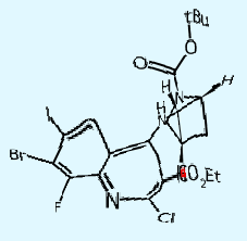 CCOC(=O)c1c(Cl)nc2c(F)c(Br)c(I)cc2c1N[C@H]1[C@@H]2C[C@H]1N(C(=O)OC(C)(C)C)C2